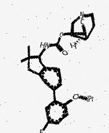 CC(C)Oc1ccc(F)cc1-c1ccc2c(c1)CC(C)(C)C2NC(=O)O[C@H]1CN2CCC1CC2